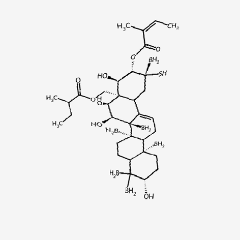 BC1(B)C2CC[C@]3(B)C(CC=C4C5C[C@@](B)(S)[C@@H](OC(=O)/C(C)=C\C)[C@H](O)[C@]5(COC(=O)C(C)CC)[C@H](O)[C@H](O)[C@]43B)[C@@]2(B)CC[C@@H]1O